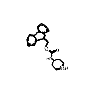 O=C(NC1CCNCC1)OCC1c2ccccc2-c2ccccc21